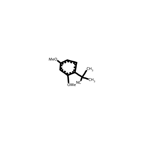 COc1ccc(C(C)(C)C#N)c(OC)c1